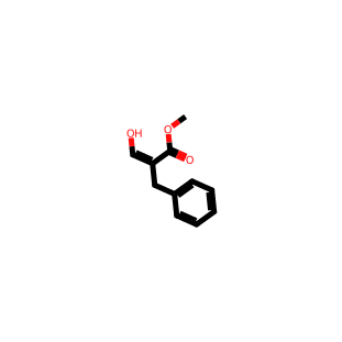 COC(=O)C(=CO)Cc1ccccc1